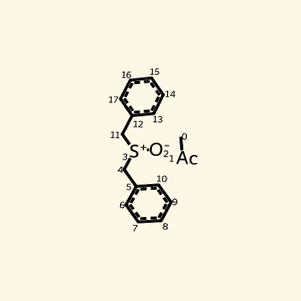 CC(C)=O.[O-][S+](Cc1ccccc1)Cc1ccccc1